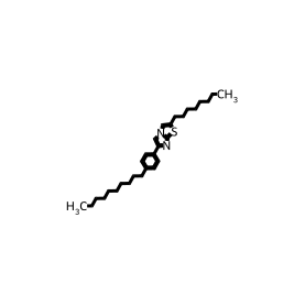 CCCCCCCCCCc1ccc(-c2cn3cc(CCCCCCCC)sc3n2)cc1